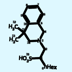 CCCCCCC(CN1Cc2ccccc2C(C)(C)C1)S(=O)(=O)O